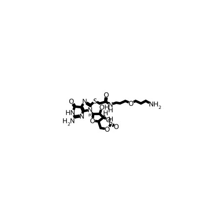 NCCCOCCCNC(=O)CSc1nc2c(=O)[nH]c(N)nc2n1[C@@H]1OC2CO[PH](=O)O[C@H]2C1O